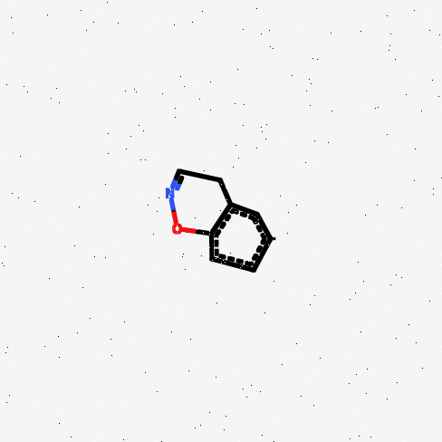 [c]1ccc2c(c1)CC=NO2